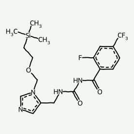 C[Si](C)(C)CCOCn1cncc1CNC(=O)NC(=O)c1ccc(C(F)(F)F)cc1F